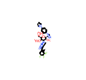 OC[C@H]1O[C@@H](c2nncn2-c2ccc(-n3cccc3)cc2)[C@H](O)[C@@H](n2cc(-c3cc(F)c(F)c(F)c3)nn2)[C@H]1O